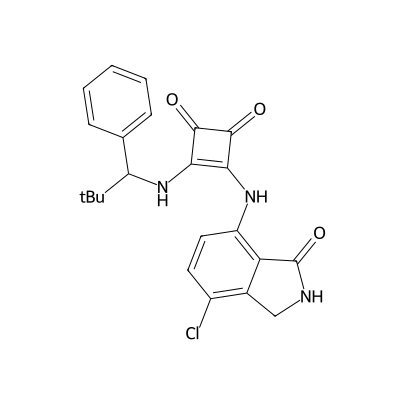 CC(C)(C)C(Nc1c(Nc2ccc(Cl)c3c2C(=O)NC3)c(=O)c1=O)c1ccccc1